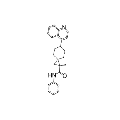 C[C@@]1(C(=O)Nc2ccccc2)CC12CCC(c1ccnc3ccccc13)CC2